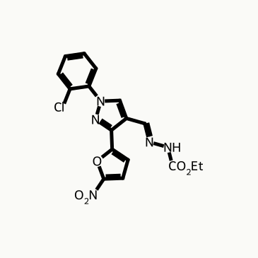 CCOC(=O)NN=Cc1cn(-c2ccccc2Cl)nc1-c1ccc([N+](=O)[O-])o1